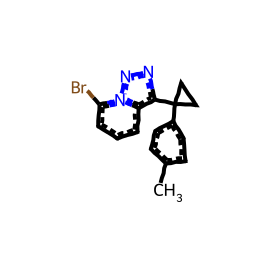 Cc1ccc(C2(c3nnn4c(Br)cccc34)CC2)cc1